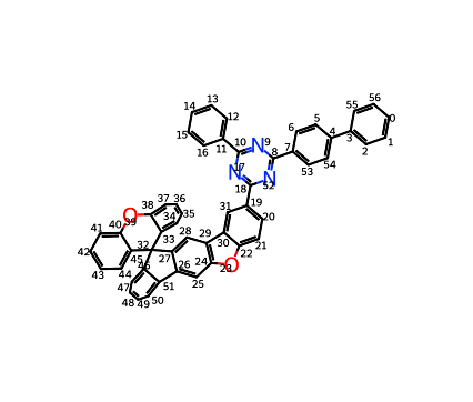 c1ccc(-c2ccc(-c3nc(-c4ccccc4)nc(-c4ccc5oc6cc7c(cc6c5c4)C4(c5ccccc5Oc5ccccc54)c4ccccc4-7)n3)cc2)cc1